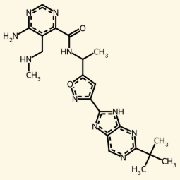 CNCc1c(N)ncnc1C(=O)NC(C)c1cc(-c2nc3cnc(C(C)(C)C)nc3[nH]2)no1